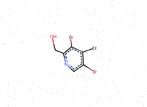 CCc1c(Br)cnc(CO)c1Br